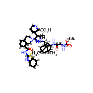 Cc1c(-c2cccnc2C(=O)O)c(N2CCc3cccc(C(=O)Nc4nc5ccccc5s4)c3C2)nn1CC12CC3(C)CC(C)(C1)CC(NC(=O)CNC(=O)OC(C)(C)C)(C3)C2